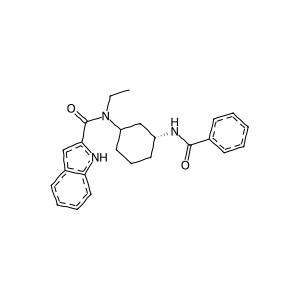 CCN(C(=O)c1cc2ccccc2[nH]1)C1CCC[C@@H](NC(=O)c2ccccc2)C1